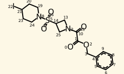 O=C(OCc1ccccc1)C(=O)N1CC(S(=O)(=O)N2CCC(I)CC2)C1